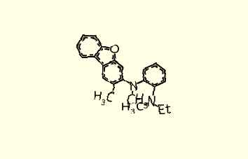 CCN(C)c1ccccc1N(C)c1cc2oc3ccccc3c2cc1C